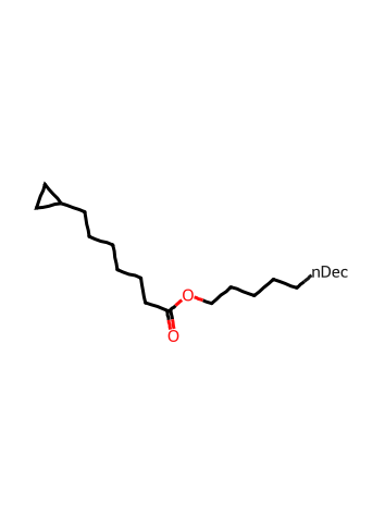 CCCCCCCCCCCCCCCOC(=O)CCCCCCC1CC1